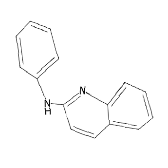 c1ccc(Nc2ccc3ccccc3n2)cc1